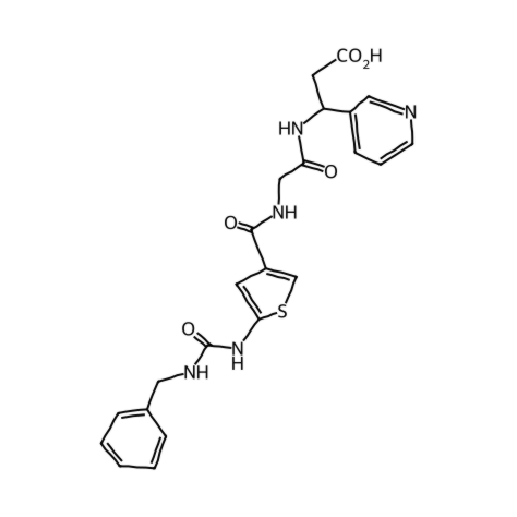 O=C(O)CC(NC(=O)CNC(=O)c1csc(NC(=O)NCc2ccccc2)c1)c1cccnc1